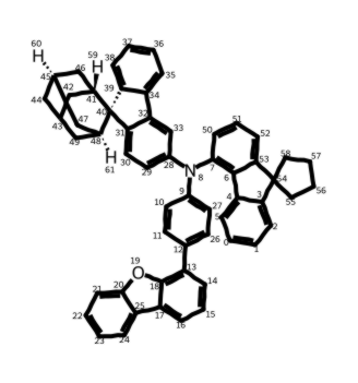 c1ccc2c(c1)-c1c(N(c3ccc(-c4cccc5c4oc4ccccc45)cc3)c3ccc4c(c3)-c3ccccc3[C@]43[C@@H]4CC5C[C@@H](C4)C[C@@H]3C5)cccc1C21CCCC1